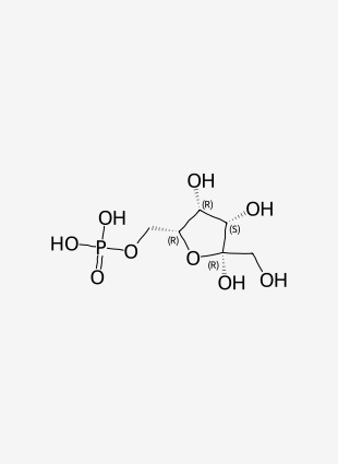 O=P(O)(O)OC[C@H]1O[C@](O)(CO)[C@@H](O)[C@H]1O